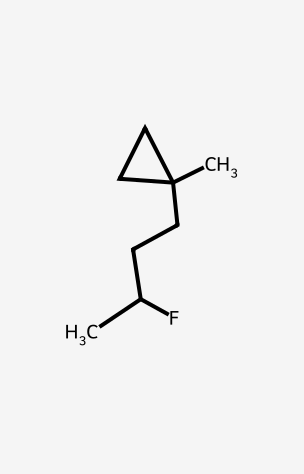 CC(F)CCC1(C)CC1